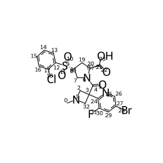 CN1CC(C(=O)N2C[C@H](S(=O)(=O)c3ccccc3Cl)C[C@H]2C(=O)O)(c2ncc(Br)cc2F)C1